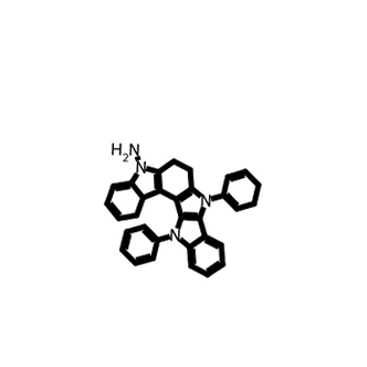 NN1C2=CC=CCC2C2=C1CCc1c2c2c(c3ccccc3n2-c2ccccc2)n1C1=CCCC=C1